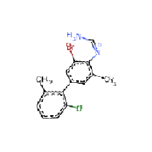 Cc1cc(-c2c(C)cccc2Cl)cc(Br)c1/N=C\N